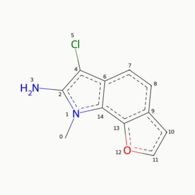 Cn1c(N)c(Cl)c2ccc3ccoc3c21